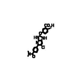 Cc1ccc(OC2Nc3cc(Cl)c(-c4ccc(C(=O)N(C)C)cc4)nc3N2)cc1C(=O)O